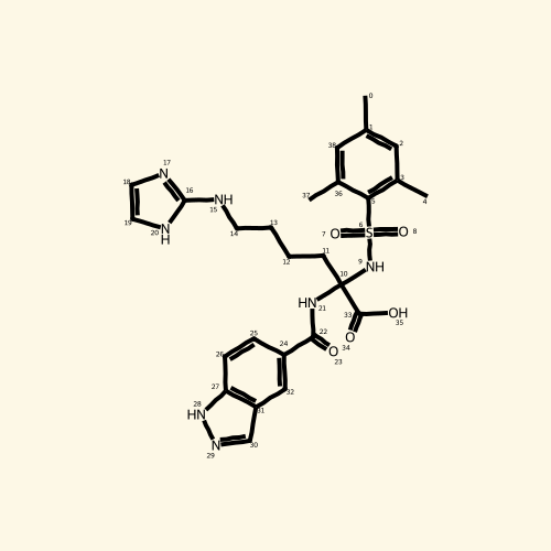 Cc1cc(C)c(S(=O)(=O)NC(CCCCNc2ncc[nH]2)(NC(=O)c2ccc3[nH]ncc3c2)C(=O)O)c(C)c1